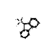 [Cl][Ge]([Cl])([Cl])[CH]1c2ccccc2-c2ccccc21